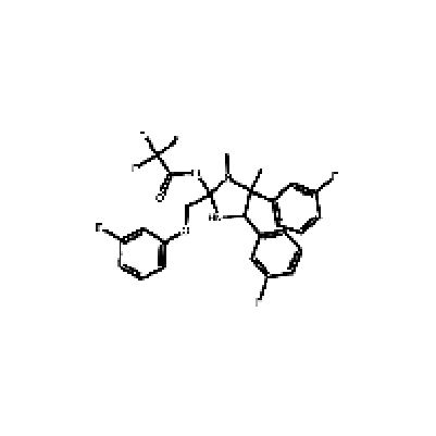 CN1C(COc2cccc(F)c2)(OC(=O)C(F)(F)F)NC(c2cccc(F)c2)C1(C)c1cccc(F)c1